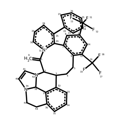 C=C1C2C(CCc3c(cc(C(F)(F)F)cc3C(F)(F)F)-c3c(-c4ccccc4)ccc[n+]31)c1cccc3c1C1N(C=CN21)CC3